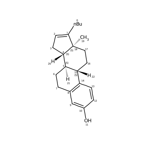 CCCCC1=CC[C@H]2[C@@H]3CCc4cc(O)ccc4[C@H]3CC[C@]12C